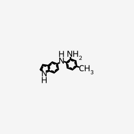 Cc1ccc(Nc2ccc3[nH]ccc3c2)c(N)c1